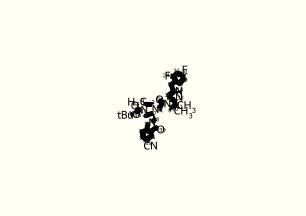 C[C@@H]1CN(CC(=O)N2CC(C)(C)c3nnc(Cc4ccc(F)cc4F)cc32)[C@@H](CN2Cc3ccc(C#N)cc3C2=O)CN1C(=O)OC(C)(C)C